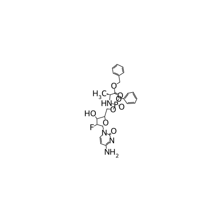 C[C@H](NP(=O)(OCC1OC(n2ccc(N)nc2=O)C(F)C1O)Oc1ccccc1)C(=O)OCc1ccccc1